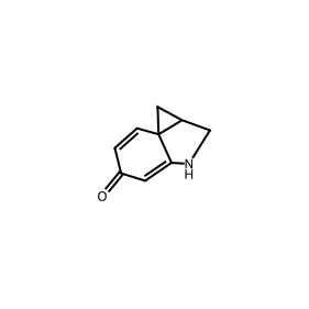 O=C1C=CC23CC2CNC3=C1